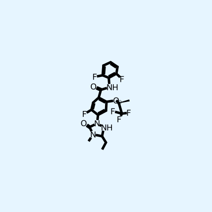 CCC1NN(c2cc(O[C@@H](C)C(F)(F)F)c(C(=O)Nc3c(F)cccc3F)cc2F)C(=O)N1C